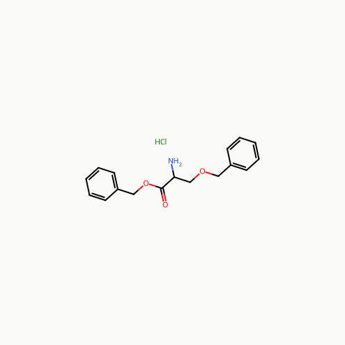 Cl.NC(COCc1ccccc1)C(=O)OCc1ccccc1